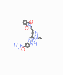 CCCNc1nc(Nc2ccc(C(N)=O)cc2)ncc1C#CCCCN1C(=O)c2ccccc2C1=O